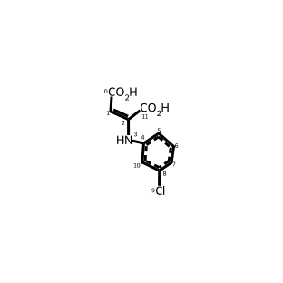 O=C(O)/C=C(/Nc1cccc(Cl)c1)C(=O)O